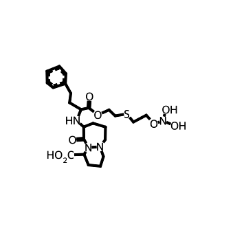 O=C(OCCSCCON(O)O)C(CCc1ccccc1)NC1CCCN2CCCC(C(=O)O)N2C1=O